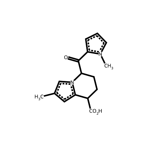 Cc1cc2n(c1)C(C(=O)c1cccn1C)CCC2C(=O)O